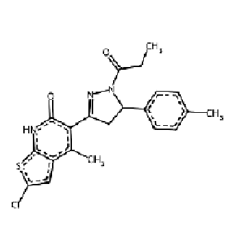 CCC(=O)N1N=C(c2c(C)c3cc(Cl)sc3[nH]c2=O)CC1c1ccc(C)cc1